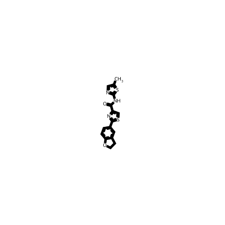 Cc1cnc(NC(=O)c2csc(-c3ccc4c(c3)CCO4)n2)s1